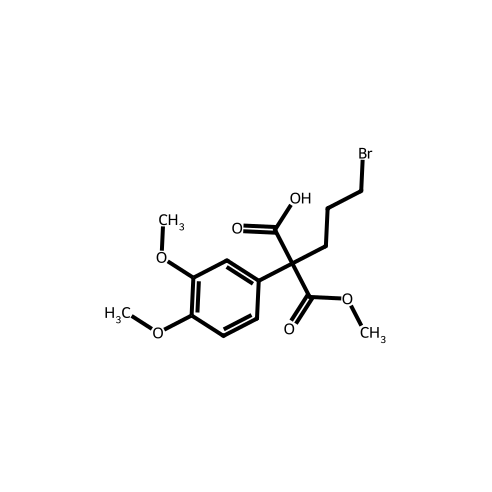 COC(=O)C(CCCBr)(C(=O)O)c1ccc(OC)c(OC)c1